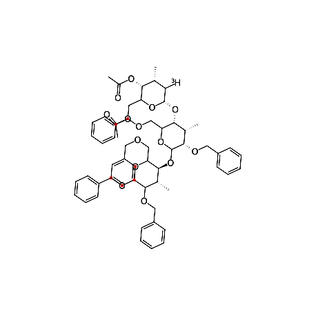 [3H]C1[C@H](O[C@H]2C(COCc3ccccc3)OC(O[C@@H]3C(COCc4ccccc4)O[C@@H](OCc4ccccc4)C(OCc4ccccc4)[C@H]3C)[C@@H](OCc3ccccc3)[C@H]2C)OC(COC(C)=O)[C@H](OC(C)=O)[C@@H]1C